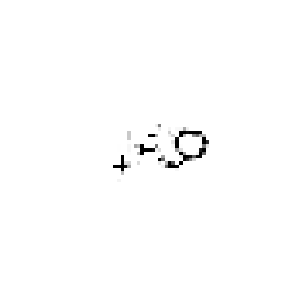 CC(C)(C)OC(=O)[N@+]1([Sn]([CH3])([CH3])[CH3])N=Cc2ccccc21